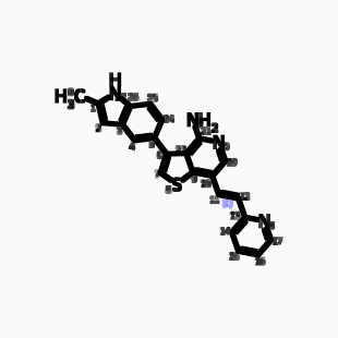 Cc1cc2cc(-c3csc4c(/C=C/c5ccccn5)cnc(N)c34)ccc2[nH]1